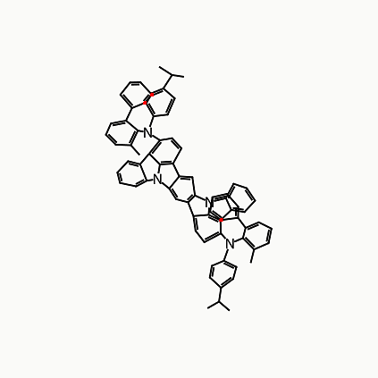 Cc1cccc(-c2ccccc2)c1N(c1ccc(C(C)C)cc1)c1ccc2c3cc4c(cc3n3c5ccccc5c1c23)c1ccc(N(c2ccc(C(C)C)cc2)c2c(C)cccc2-c2ccccc2)c2c3ccccc3n4c12